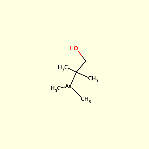 C[As](C)C(C)(C)CO